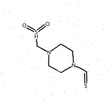 O=[SH](=O)CN1CCN([C]=S)CC1